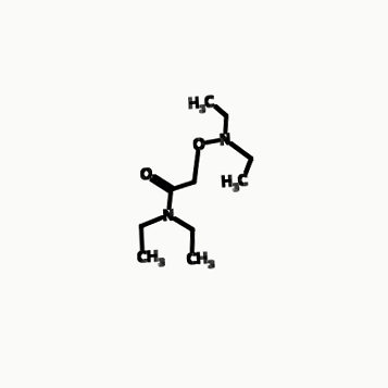 CCN(CC)OCC(=O)N(CC)CC